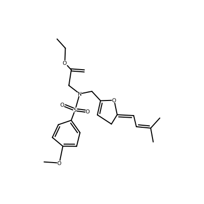 C=C(CN(CC1=CC/C(=C\C=C(C)C)O1)S(=O)(=O)c1ccc(OC)cc1)OCC